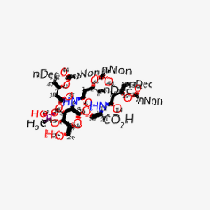 CCCCCCCCCCC[C@H](CC(=O)NC1C(OC[C@H](NC(=O)C[C@@H](CCCCCCCCCCC)OC(=O)CCCCCCCCC)C(=O)O)OC(CO)C(OP(C)(=O)O)C1OC(=O)C[C@@H](CCCCCCCCCCC)OC(=O)CCCCCCCCC)OC(=O)CCCCCCCCC